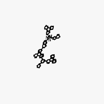 c1ccc(-c2cc(-c3ccc4c5ccccc5c5ccccc5c4c3)cc(-c3ccc4c(c3)c3ccccc3c3ccc(-c5ccc6cc(-c7nc(-c8ccc9ccccc9c8)nc(-c8ccc9c%10ccccc%10c%10ccccc%10c9c8)n7)ccc6c5)cc34)c2)cc1